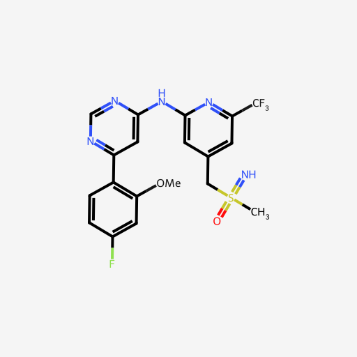 COc1cc(F)ccc1-c1cc(Nc2cc(CS(C)(=N)=O)cc(C(F)(F)F)n2)ncn1